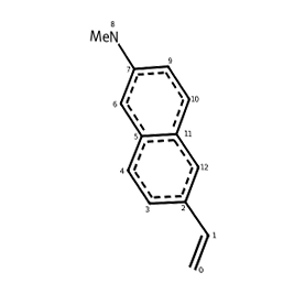 C=Cc1ccc2cc(NC)ccc2c1